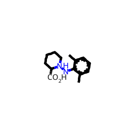 Cc1cccc(C)c1NN1CCCCC1C(=O)O